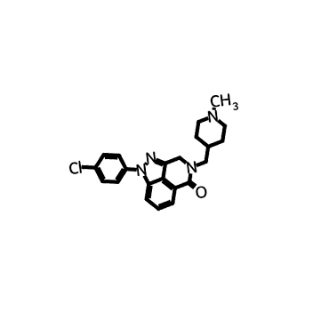 CN1CCC(CN2Cc3nn(-c4ccc(Cl)cc4)c4cccc(c34)C2=O)CC1